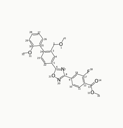 COCc1cc(-c2nc(-c3ccc(C(=O)OC)c(F)c3)no2)ccc1-c1ccccc1OC